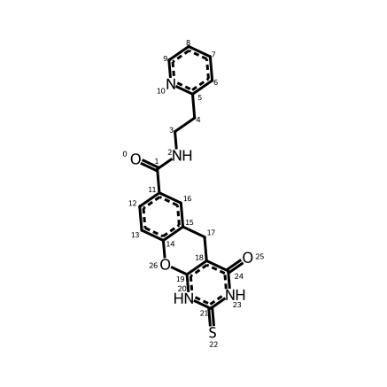 O=C(NCCc1ccccn1)c1ccc2c(c1)Cc1c([nH]c(=S)[nH]c1=O)O2